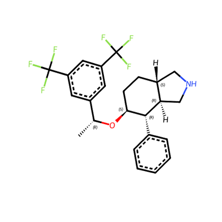 C[C@@H](O[C@H]1CC[C@@H]2CNC[C@H]2[C@@H]1c1ccccc1)c1cc(C(F)(F)F)cc(C(F)(F)F)c1